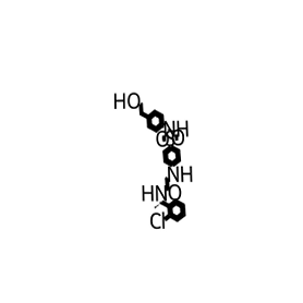 C[C@H](NC(=O)CNc1ccc(S(=O)(=O)Nc2ccc(CCO)cc2)cc1)c1ccccc1Cl